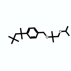 CC(C)OCC(C)(C)OCc1ccc(C(C)(C)CC(C)(C)C)cc1